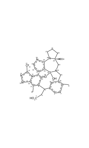 Cc1ccc(C(CC(=O)O)c2ccn3c(C(F)(F)F)nnc3c2C)cc1CN1C[C@H]2CCCN2c2ncccc2S1(O)O